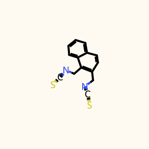 S=C=NCc1ccc2ccccc2c1CN=C=S